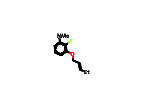 CC/C=C/COc1cccc(NC)c1F